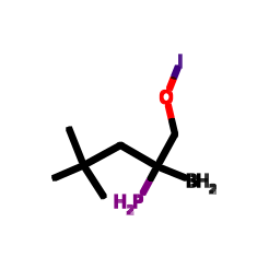 BC(P)(COI)CC(C)(C)C